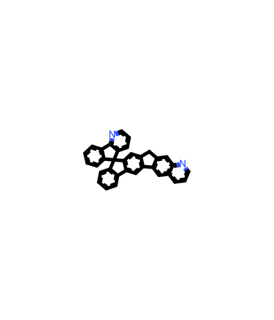 c1ccc2c(c1)-c1cc3c(cc1C21c2ccccc2-c2ncccc21)Cc1cc2ncccc2cc1-3